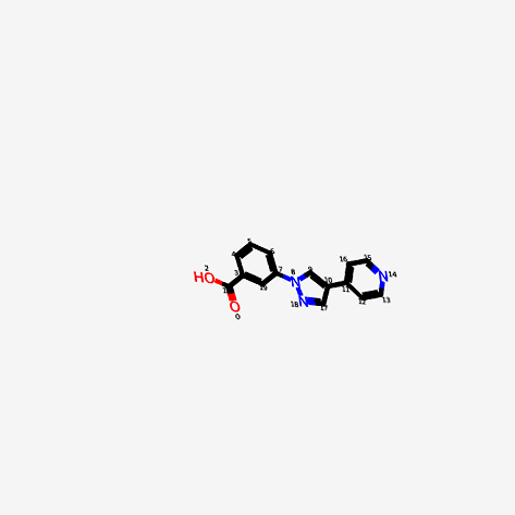 O=C(O)c1cccc(-n2cc(-c3ccncc3)cn2)c1